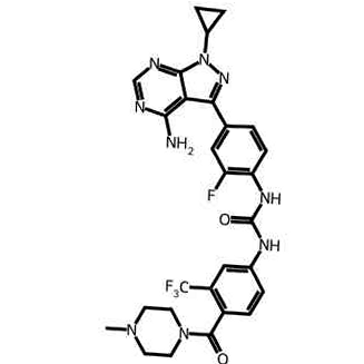 CN1CCN(C(=O)c2ccc(NC(=O)Nc3ccc(-c4nn(C5CC5)c5ncnc(N)c45)cc3F)cc2C(F)(F)F)CC1